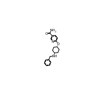 NC(=O)c1ccc(O[C@H]2CC[C@H](NCc3ccccc3)CC2)nc1